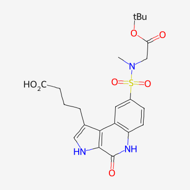 CN(CC(=O)OC(C)(C)C)S(=O)(=O)c1ccc2[nH]c(=O)c3[nH]cc(CCCC(=O)O)c3c2c1